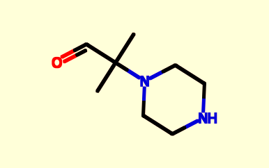 CC(C)(C=O)N1CCNCC1